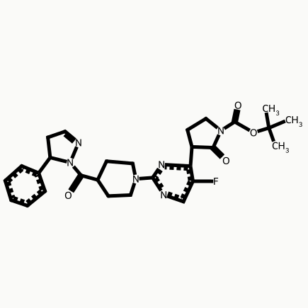 CC(C)(C)OC(=O)N1CCC(c2nc(N3CCC(C(=O)N4N=CCC4c4ccccc4)CC3)ncc2F)C1=O